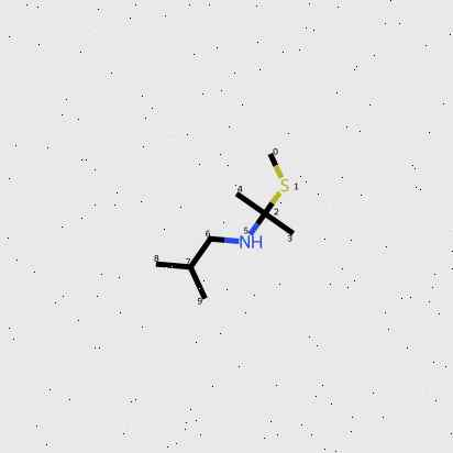 CSC(C)(C)NCC(C)C